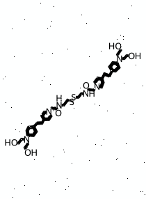 O=C(C[n+]1ccc(/C=C/c2ccc(N(CCO)CCO)cc2)cc1)NCCSSCCNC(=O)C[n+]1ccc(/C=C/c2ccc(N(CCO)CCO)cc2)cc1